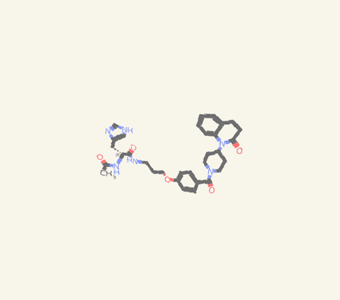 CC(=O)N[C@H](Cc1c[nH]cn1)C(=O)NCCCOc1ccc(C(=O)N2CCC(N3C(=O)CCc4ccccc43)CC2)cc1